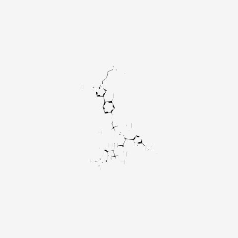 C[n+]1cc(-c2ccc(OCC(C)(O/N=C(\C(=O)N[C@@H]3C(=O)N(OS(=O)(=O)[O-])C3(C)C)c3csc(N)n3)C(=O)O)cc2F)cn1CCCN